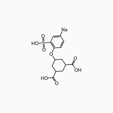 O=C(O)C1CC(Oc2cc[c]([Na])cc2S(=O)(=O)O)CC(C(=O)O)C1